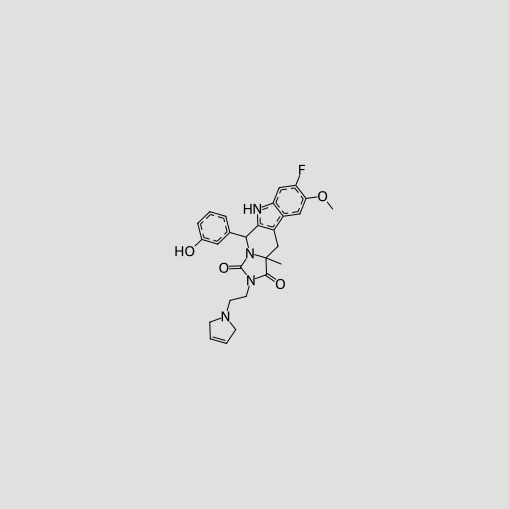 COc1cc2c3c([nH]c2cc1F)C(c1cccc(O)c1)N1C(=O)N(CCN2CC=CC2)C(=O)C1(C)C3